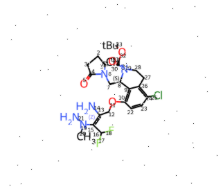 C[C@@H]1CCC(=O)N1C[C@@H]1c2c(OC/C(N)=C(\C(F)F)N(C)N)ccc(Cl)c2CCN1C(=O)OC(C)(C)C